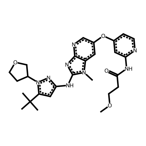 COCCC(=O)Nc1cc(Oc2cnc3nc(Nc4cc(C(C)(C)C)n(C5CCOC5)n4)n(C)c3c2)ccn1